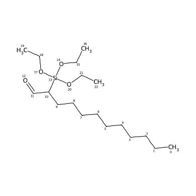 CCCCCCCCCCC(C=O)[Si](OCC)(OCC)OCC